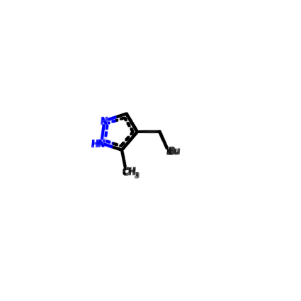 CCC(C)Cc1cn[nH]c1C